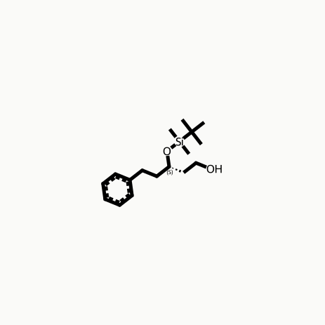 CC(C)(C)[Si](C)(C)O[C@H](CCO)CCc1ccccc1